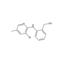 Cc1cnc(Nc2ccccc2CO)c(Br)c1